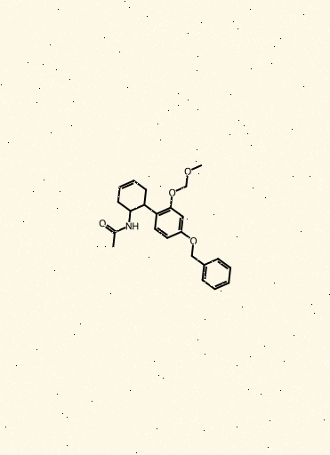 COCOc1cc(OCc2ccccc2)ccc1C1CC=CCC1NC(C)=O